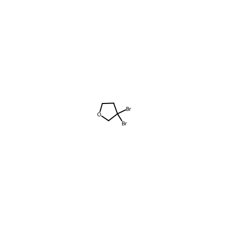 BrC1(Br)CCOC1